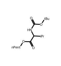 CCCCCOC(=O)C(NC(=O)OC(C)(C)C)C(C)C